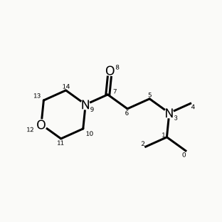 CC(C)N(C)CCC(=O)N1CCOCC1